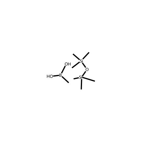 CB(O)O.C[Si](C)(C)O[Si](C)(C)C